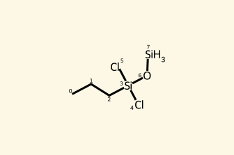 CCC[Si](Cl)(Cl)O[SiH3]